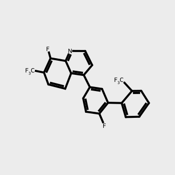 Fc1ccc(-c2ccnc3c(F)c(C(F)(F)F)ccc23)cc1-c1ccccc1C(F)(F)F